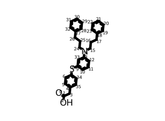 O=C(O)Cc1ccc(Sc2cccc(N(CCCc3ccccc3)CCCc3ccccc3)c2)cc1